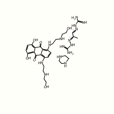 C1CNCCN1.CC(/C=N/NC(=N)N)=N\NC(=N)N.O=C1c2c(O)ccc(O)c2C(=O)c2c(NCCNCCO)ccc(NCCNCCO)c21